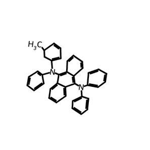 CC1C=CC=C(N(c2ccccc2)c2c3ccccc3c(N(c3ccccc3)c3ccccc3)c3ccccc23)C1